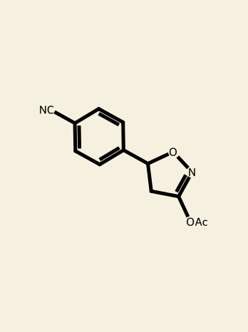 CC(=O)OC1=NOC(c2ccc(C#N)cc2)C1